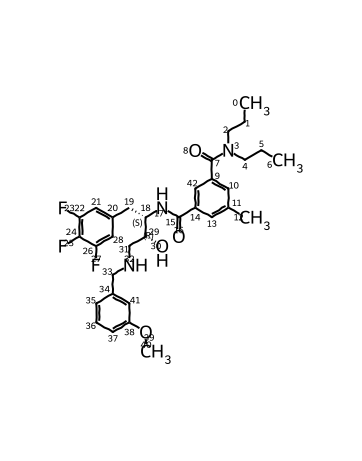 CCCN(CCC)C(=O)c1cc(C)cc(C(=O)N[C@@H](Cc2cc(F)c(F)c(F)c2)[C@H](O)CNCc2cccc(OC)c2)c1